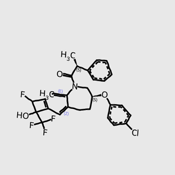 C/C=C1\C(=C/C2=CC(F)C2(O)C(F)(F)F)CC[C@H](Oc2ccc(Cl)cc2)CN1C(=O)[C@@H](C)c1ccccc1